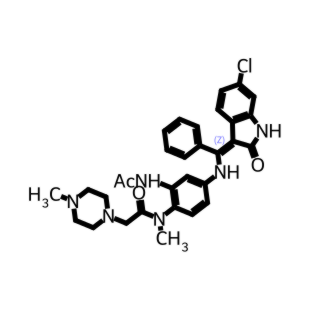 CC(=O)Nc1cc(N/C(=C2\C(=O)Nc3cc(Cl)ccc32)c2ccccc2)ccc1N(C)C(=O)CN1CCN(C)CC1